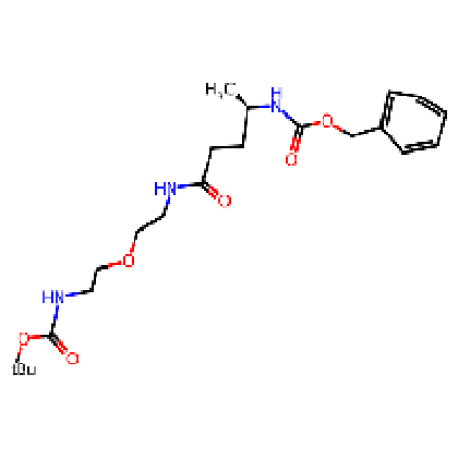 C[C@H](CCC(=O)NCCOCCNC(=O)OC(C)(C)C)NC(=O)OCc1ccccc1